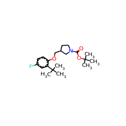 CC(C)(C)OC(=O)N1CCC(COc2ccc(F)cc2C(C)(C)C)C1